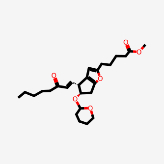 CCCCCC(=O)/C=C/[C@@H]1c2cc(CCCCC(=O)OC)oc2C[C@H]1OC1CCCCO1